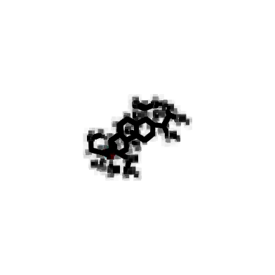 CC(C)[C@@H](C)[C@@]1(C)CC[C@]2(C)[C@H]3CC[C@@H]4[C@@]5(COC[C@]4(C)[C@@H](O)[C@H](NN)C5)C3=CC[C@@]2(C)[C@@H]1C(=O)O